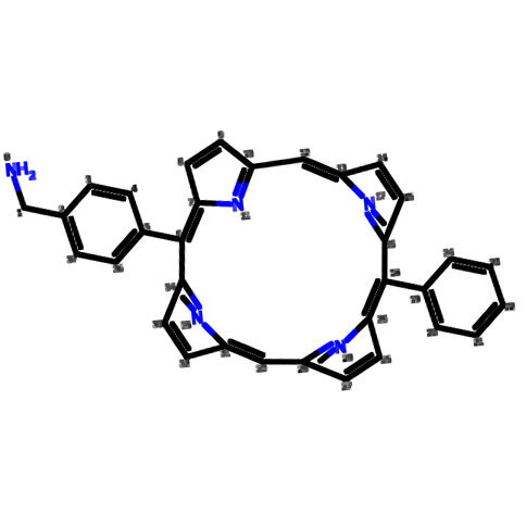 NCc1ccc(C2=C3C=CC(=N3)C=C3C=CC(=N3)C(c3ccccc3)=C3C=CC(=N3)C=C3C=CC2=N3)cc1